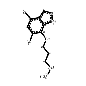 CC(=O)c1cc(Cl)c2cn[nH]c2c1OCCCNC(=O)O